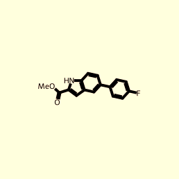 COC(=O)c1cc2cc(-c3ccc(F)cc3)ccc2[nH]1